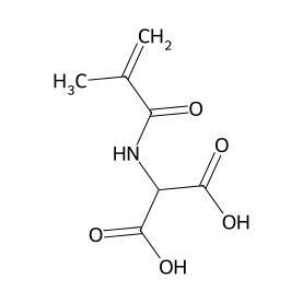 C=C(C)C(=O)NC(C(=O)O)C(=O)O